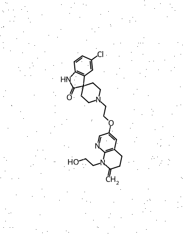 C=C1CCc2cc(OCCN3CCC4(CC3)C(=O)Nc3ccc(Cl)cc34)cnc2N1CCO